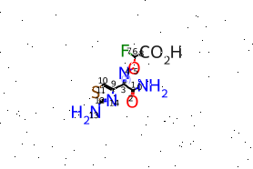 NC(=O)/C(=N\OC(F)C(=O)O)c1csc(N)n1